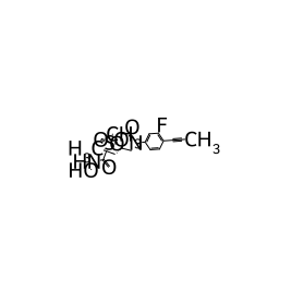 CC#Cc1ccc(N2C[C@H](C[C@](C)(C(=O)NO)S(C)(=O)=O)OC2=O)cc1F